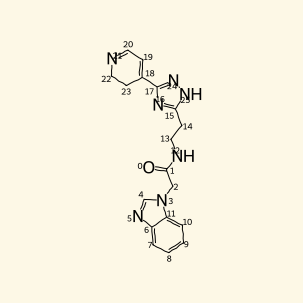 O=C(Cn1cnc2ccccc21)NCCc1nc(C2=CC=NCC2)n[nH]1